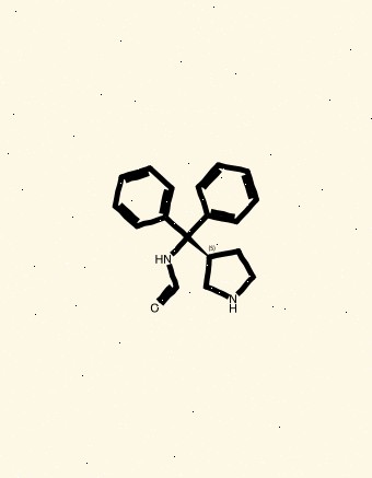 O=CNC(c1ccccc1)(c1ccccc1)[C@H]1CCNC1